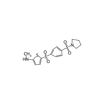 CNc1ccc(S(=O)(=O)c2ccc(S(=O)(=O)N3CCCC3)cc2)s1